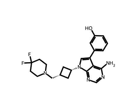 Nc1ncnc2c1c(-c1cccc(O)c1)cn2[C@H]1C[C@@H](CN2CCC(F)(F)CC2)C1